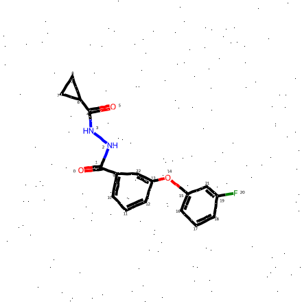 O=C(NNC(=O)C1CC1)c1cccc(Oc2cc[c]c(F)c2)c1